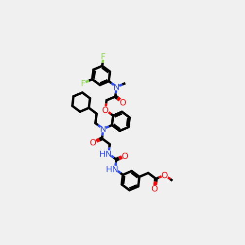 COC(=O)Cc1cccc(NC(=O)NCC(=O)N(CCC2CCCCC2)c2ccccc2OCC(=O)N(C)c2cc(F)cc(F)c2)c1